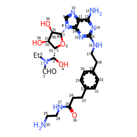 CCN(C=O)C(O)[C@H]1O[C@@H](n2cnc3c(N)nc(NCCc4ccc(CCC(=O)NCCN)cc4)nc32)[C@H](O)[C@@H]1O